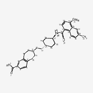 CCCC(=O)c1ccc2c(c1)CCN(CC[C@H]1CC[C@H](NC(=O)c3ccc(OC)c4nc(C)ccc34)CC1)CC2